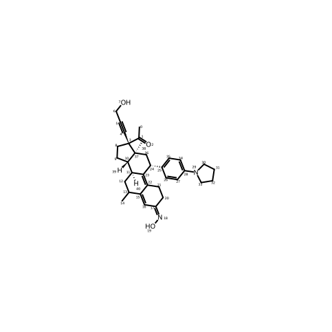 CC(=O)[C@@]1(C#CCO)CC[C@H]2[C@@H]3CC(C)C4=CC(=NO)CCC4=C3[C@@H](c3ccc(N4CCCC4)cc3)C[C@@]21C